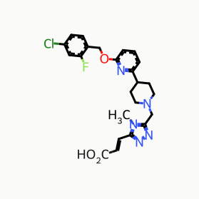 Cn1c(C=CC(=O)O)nnc1CN1CCC(c2cccc(OCc3ccc(Cl)cc3F)n2)CC1